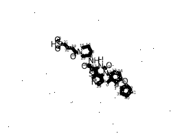 Cc1c(N2C(=O)Nc3c(C(=O)N[C@@H]4CCCN(C(=O)CCC[SH](=O)=O)C4)sc4nccc2c34)ccc(Oc2ccccc2)c1F